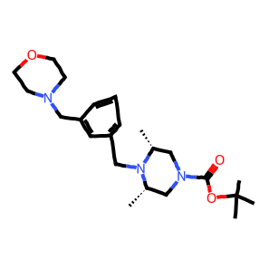 C[C@@H]1CN(C(=O)OC(C)(C)C)C[C@H](C)N1Cc1cccc(CN2CCOCC2)c1